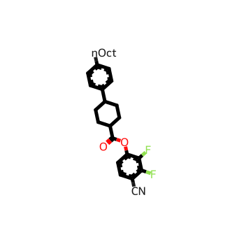 CCCCCCCCc1ccc(C2CCC(C(=O)Oc3ccc(C#N)c(F)c3F)CC2)cc1